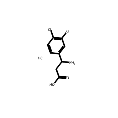 Cl.NC(CC(=O)O)c1ccc(Cl)c(Cl)c1